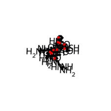 CCCC[C@H](NC(=O)[C@@H](N)CCCNC(=N)N)C(=O)N[C@@H](CS)C(=O)N[C@@H](CCCNC(=N)N)C(=O)N[C@H](Cc1ccccc1)C(=O)N[C@@H](CCCNC(=N)N)C(=O)N[C@@H](Cc1c[nH]c2ccccc12)C(=O)N[C@@H](CS)C(=O)O